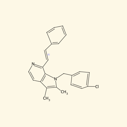 Cc1c(C)n(Cc2ccc(Cl)cc2)c2c(/C=C/c3ccccc3)nccc12